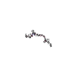 OC(CSc1ccc(Sc2ccc(SCC(O)CN(/N=C/c3ccc(-c4ccc(-c5cccs5)s4)s3)c3ccccc3)cc2)cc1)CN(/N=C/c1ccc(-c2ccc(-c3cccs3)s2)s1)c1ccccc1